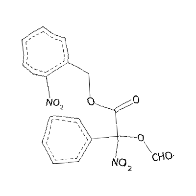 O=[C]OC(C(=O)OCc1ccccc1[N+](=O)[O-])(c1ccccc1)[N+](=O)[O-]